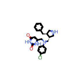 O=c1cc(CN(C[C@H]2CNC[C@@H]2Cc2ccccc2)c2ccc(Cl)cc2)[nH]c(=O)[nH]1